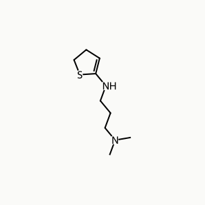 CN(C)CCCNC1=CCCS1